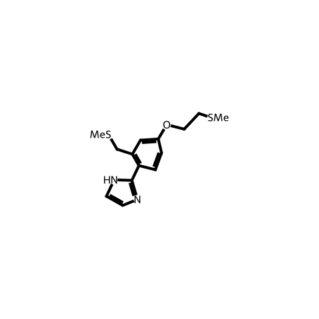 CSCCOc1ccc(-c2ncc[nH]2)c(CSC)c1